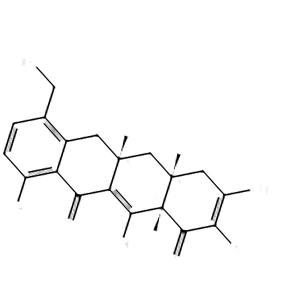 CC(=O)C1=C(C)C[C@@]2(C)C[C@@]3(C)Cc4c(CC(C)C)ccc(O)c4C(=O)C3=C(O)[C@@]2(C)C1=O